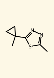 Cc1nnc(C2(C)CC2)s1